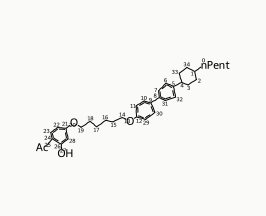 CCCCCC1CCC(c2ccc(-c3ccc(OCCCCCCOc4ccc(C(C)=O)c(O)c4)cc3)cc2)CC1